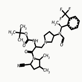 CC1CC(C#N)N(C(=O)C(CN2CCC(N(C=O)[C@@H](C)c3ccccc3C(F)(F)F)C2)NC(=O)OC(C)(C)C)C1C